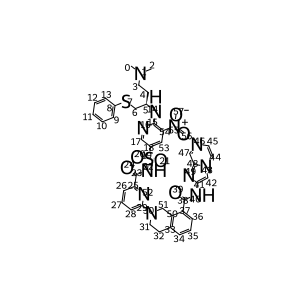 CN(C)CC[C@H](CSc1ccccc1)Nc1ncc(S(=O)(=O)NC(=O)c2cccc(N3CCc4cccc(C(=O)Nc5cn6ccncc6n5)c4C3)n2)cc1[N+](=O)[O-]